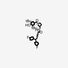 CC(C)(C)c1cc(C(=O)N2CCC(CNC(=O)CCCCC(c3ccc(F)cc3)c3ccc(F)cc3)C2)cc(C(C)(C)C)c1O